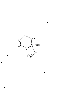 CC[N+]1(CC(C)C)CCCCC1